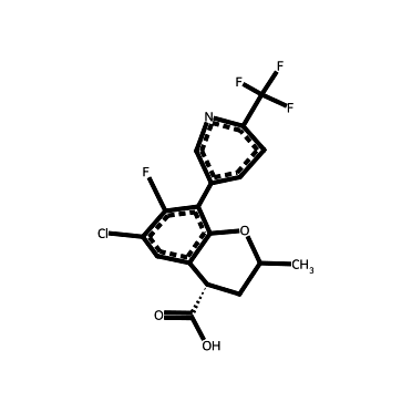 CC1C[C@H](C(=O)O)c2cc(Cl)c(F)c(-c3ccc(C(F)(F)F)nc3)c2O1